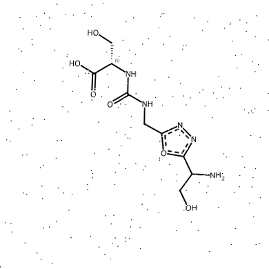 NC(CO)c1nnc(CNC(=O)N[C@@H](CO)C(=O)O)o1